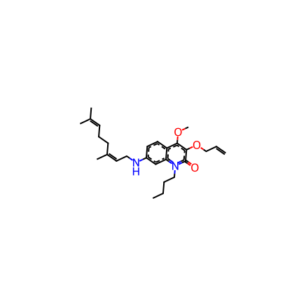 C=CCOc1c(OC)c2ccc(NCC=C(C)CCC=C(C)C)cc2n(CCCC)c1=O